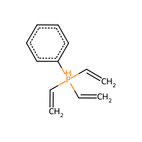 C=C[PH](C=C)(C=C)c1ccccc1